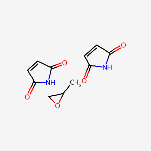 CC1CO1.O=C1C=CC(=O)N1.O=C1C=CC(=O)N1